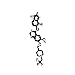 COc1cc2c(Oc3ccc4[nH]c(C)cc4c3F)ncnc2cc1OCC1CCN(CC(F)(F)F)CC1